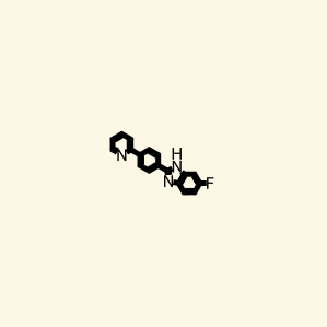 Fc1ccc2nc(-c3ccc(-c4ccccn4)cc3)[nH]c2c1